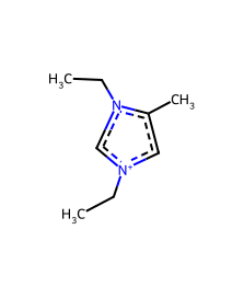 CCn1c[n+](CC)cc1C